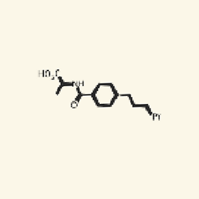 CC(C)CCC[C@H]1CC[C@@H](C(=O)NC(C)C(=O)O)CC1